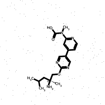 CC(C)C[C@](C)(N)COc1ncc(-c2ccnc(N(C)C(=O)O)c2)cn1